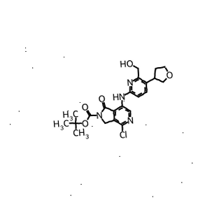 CC(C)(C)OC(=O)N1Cc2c(Cl)ncc(Nc3ccc(C4CCOC4)c(CO)n3)c2C1=O